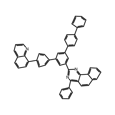 c1ccc(-c2ccc(-c3cc(-c4ccc(-c5cccc6cccnc56)cc4)cc(-c4nc(-c5ccccc5)c5ccc6ccccc6c5n4)c3)cc2)cc1